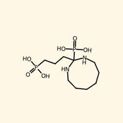 O=P(O)(O)CCCC1(P(=O)(O)O)NCCCCCCN1